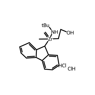 Cl.Cl.[CH2]=[Zr]([CH3])([CH2]CO)([NH]C(C)(C)C)[CH]1c2ccccc2-c2ccccc21